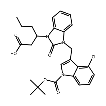 CCCC(CC(=O)O)n1c(=O)n(Cc2cn(C(=O)OC(C)(C)C)c3cccc(Cl)c23)c2ccccc21